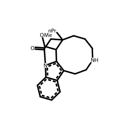 CCCC12CCCNCCc3c(n(c4ccccc34)C(=O)C1)C2COC